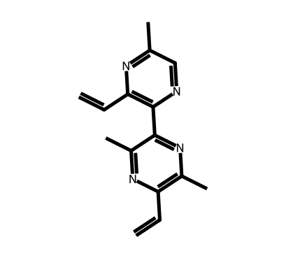 C=Cc1nc(C)c(-c2ncc(C)nc2C=C)nc1C